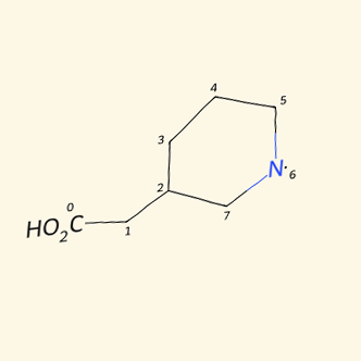 O=C(O)CC1CCC[N]C1